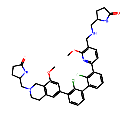 COc1cc(-c2cccc(-c3cccc(-c4ccc(CNCC5CCC(=O)N5)c(OC)n4)c3Cl)c2Cl)cc2c1CN(CC1CCC(=O)N1)CC2